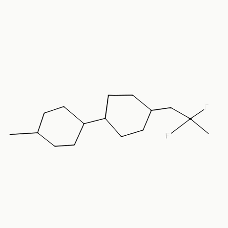 CC1CCC(C2CCC(CC(C)(F)F)CC2)CC1